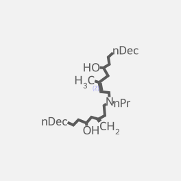 C=C(CCN(C/C=C(/C)CC(O)CCCCCCCCCCCC)CCC)CC(O)CCCCCCCCCCCC